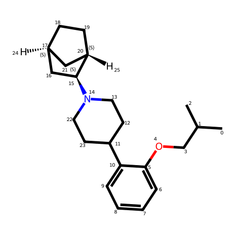 CC(C)COc1ccccc1C1CCN([C@H]2C[C@H]3CC[C@H]2C3)CC1